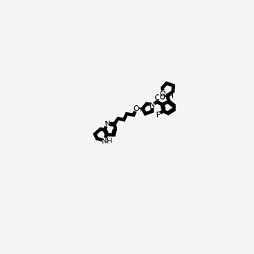 O=C(O)C(c1c(F)cccc1C1CCCCO1)N1CC[C@@H](OCCCCc2ccc3c(n2)CCCN3)C1